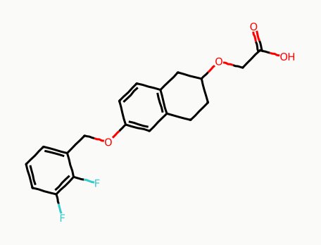 O=C(O)COC1CCc2cc(OCc3cccc(F)c3F)ccc2C1